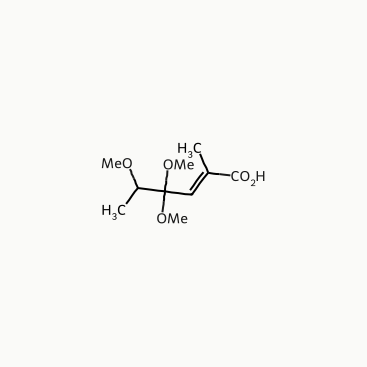 COC(C)C(C=C(C)C(=O)O)(OC)OC